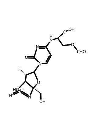 [N-]=[N+]=N[C@]1(CO)OC(n2ccc(N[C@@H](CO)COC=O)nc2=O)[C@@H](F)C1O